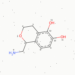 NCC1OCCc2c1ccc(O)c2O